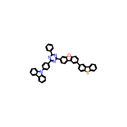 c1ccc(-c2nc(-c3ccc(-n4c5ccccc5c5ccccc54)cc3)nc(-c3ccc4c(c3)oc3ccc(-c5ccc6sc7ccccc7c6c5)cc34)n2)cc1